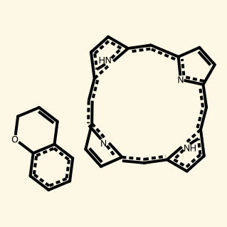 C1=Cc2cc3ccc(cc4nc(cc5ccc(cc1n2)[nH]5)C=C4)[nH]3.C1=Cc2ccccc2OC1